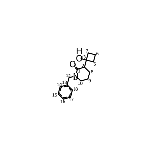 O=C1C(C2(O)CCC2)CCCN1Cc1ccccc1